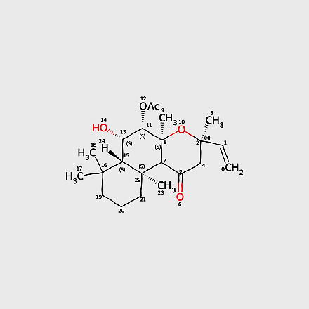 C=C[C@@]1(C)CC(=O)C2[C@](C)(O1)[C@@H](OC(C)=O)[C@@H](O)[C@H]1C(C)(C)CCC[C@]21C